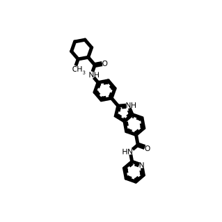 CC1CCCCC1C(=O)Nc1ccc(-c2cc3cc(C(=O)Nc4ccccn4)ccc3[nH]2)cc1